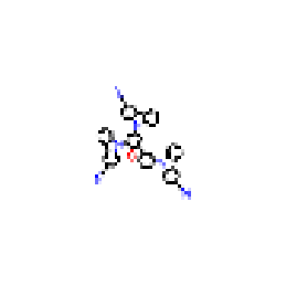 N#Cc1ccc2c(c1)c1ccccc1n2-c1ccc2oc3c(-n4c5ccccc5c5cc(C#N)ccc54)cc(-n4c5ccccc5c5cc(C#N)ccc54)cc3c2c1